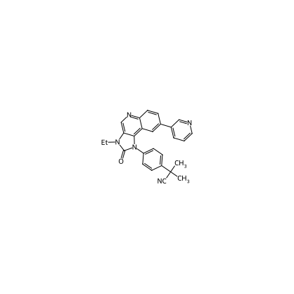 CCn1c(=O)n(-c2ccc(C(C)(C)C#N)cc2)c2c3cc(-c4cccnc4)ccc3ncc21